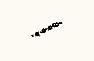 CCCC1CCC2CC(c3ccc(OCc4ccc(COc5ccc(OCC)c(F)c5F)cc4)cc3)CCC2C1